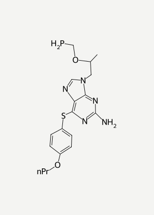 CCCOc1ccc(Sc2nc(N)nc3c2ncn3CC(C)OCP)cc1